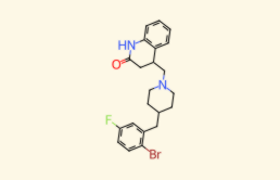 O=C1CC(CN2CCC(Cc3cc(F)ccc3Br)CC2)c2ccccc2N1